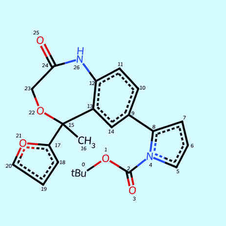 CC(C)(C)OC(=O)n1cccc1-c1ccc2c(c1)C(C)(c1ccco1)OCC(=O)N2